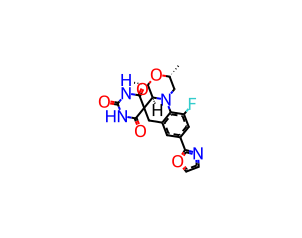 C[C@@H]1CN2c3c(F)cc(-c4ncco4)cc3CC3(C(=O)NC(=O)NC3=O)[C@H]2[C@H](C)O1